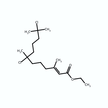 CCOC(=O)/C=C(\C)CCCC(C)(Cl)CCCC(C)(C)Cl